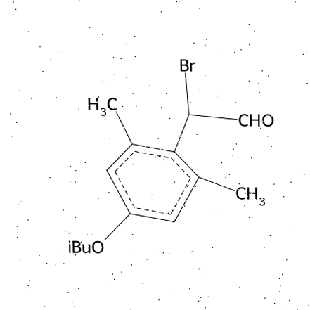 Cc1cc(OCC(C)C)cc(C)c1C(Br)C=O